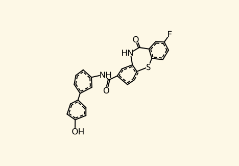 O=C(Nc1cccc(-c2ccc(O)cc2)c1)c1ccc2c(c1)NC(=O)c1cc(F)ccc1S2